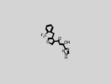 O=C(C=C(O)c1nc[nH]n1)c1cocc1Cc1ccccc1C(F)(F)F